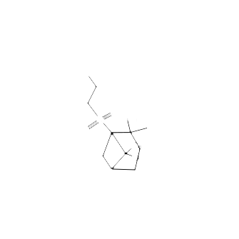 CC1(C)CCC2CC1(S(=O)(=O)CCO)C2(C)C